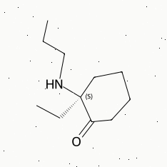 CCCN[C@@]1(CC)CCCCC1=O